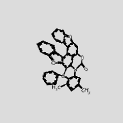 Cc1cc(C)c2c(c1)N1C(=O)Oc3cc4oc5ccccc5c4c4c3c1c(c1oc3ccccc3c14)B2c1ccccc1